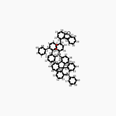 c1ccc(-c2ccccc2-c2ccccc2N(c2ccc(-c3cccc4oc5ccccc5c34)cc2)c2cccc3c2-c2ccccc2C32c3ccccc3N(c3ccccc3)c3ccccc32)cc1